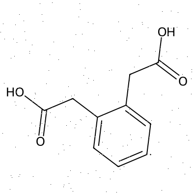 O=C(O)Cc1c[c]ccc1CC(=O)O